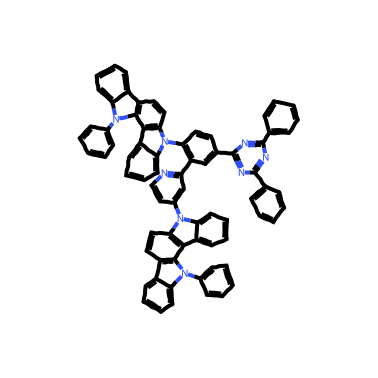 c1ccc(-c2nc(-c3ccccc3)nc(-c3ccc(-n4c5ccccc5c5c4ccc4c6ccccc6n(-c6ccccc6)c45)c(-c4cc(-n5c6ccccc6c6c5ccc5c7ccccc7n(-c7ccccc7)c56)ccn4)c3)n2)cc1